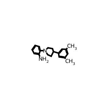 Cc1cc(C)cc(C2CCN(c3ccccc3N)CC2)c1